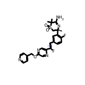 CC1(C)C(N)=N[C@](C)(c2cc(/C=C(\F)c3cnc(OCc4ccncc4)cn3)ccc2F)CS1(=O)=O